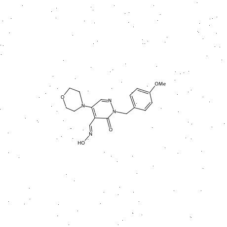 COc1ccc(Cn2ncc(N3CCOCC3)c(C=NO)c2=O)cc1